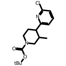 CC1CN(C(=O)OC(C)(C)C)CCC1c1cccc(Cl)n1